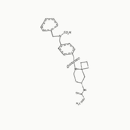 C=CC(=O)NC1CCN(S(=O)(=O)c2ccc(N(Cc3ccccc3)C(=O)O)cc2)C2(CCC2)C1